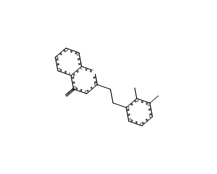 O=c1cc(CCc2cccc(F)c2F)[nH]c2ccccc12